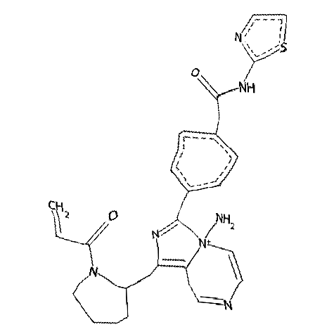 C=CC(=O)N1CCCC1C1=C2C=NC=C[N+]2(N)C(c2ccc(C(=O)Nc3nccs3)cc2)=N1